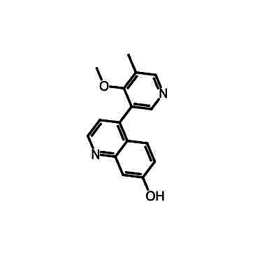 COc1c(C)cncc1-c1ccnc2cc(O)ccc12